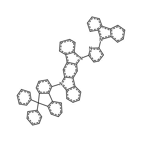 c1ccc(C2(c3ccccc3)c3ccccc3-c3c(-n4c5ccccc5c5cc6c(cc54)c4ccccc4n6-c4cccc(-n5c6ccccc6c6ccccc65)n4)cccc32)cc1